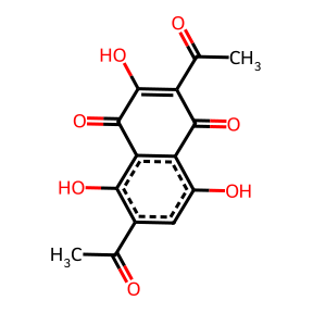 CC(=O)C1=C(O)C(=O)c2c(O)c(C(C)=O)cc(O)c2C1=O